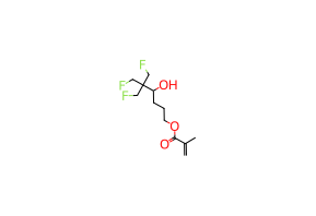 C=C(C)C(=O)OCCCC(O)C(CF)(CF)CF